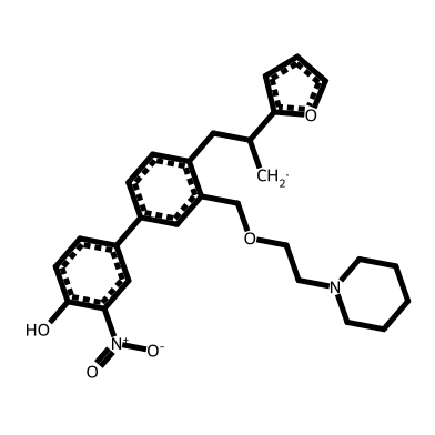 [CH2]C(Cc1ccc(-c2ccc(O)c([N+](=O)[O-])c2)cc1COCCN1CCCCC1)c1ccco1